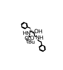 CC(C)(C)OC(=O)N[C@H](Cc1ccccc1)[C@@H](O)CNCCc1ccccc1